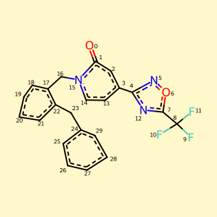 O=c1cc(-c2noc(C(F)(F)F)n2)ccn1Cc1ccccc1Cc1ccccc1